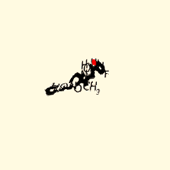 Cc1c(/C=C2\C(=O)Nc3ccc(F)cc32)[nH]c2c1C(=O)N(C[C@H](O)CN1CCCCC1)CCC2